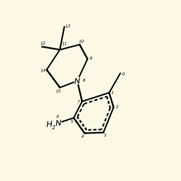 Cc1cccc(N)c1N1CCC(C)(C)CC1